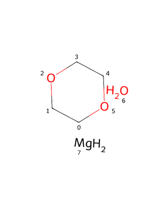 C1COCCO1.O.[MgH2]